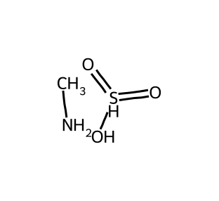 CN.O=[SH](=O)O